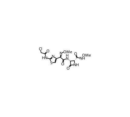 CON=C(C(=O)N[C@H]1C(=O)N[C@H]1C(=O)NOC)c1csc(NC(=O)CCl)n1